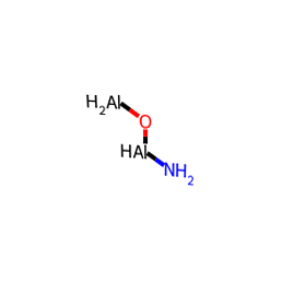 [NH2][AlH][O][AlH2]